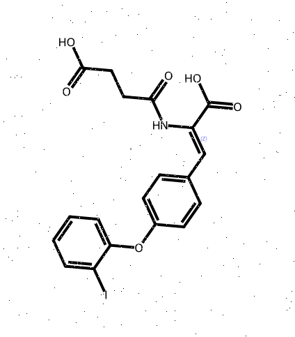 O=C(O)CCC(=O)N/C(=C\c1ccc(Oc2ccccc2I)cc1)C(=O)O